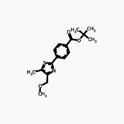 COCc1nc(-c2ccc(C(=O)OC(C)(C)C)cc2)sc1C